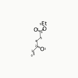 C=CC(=O)CCC(=O)OCC